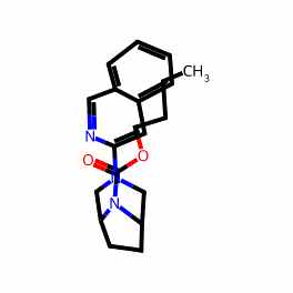 CCCCOC(=O)N1C2CCC1CN(c1cc3ccccc3cn1)C2